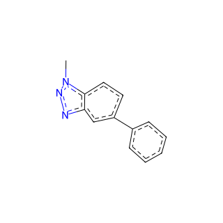 Cn1nnc2cc(-c3ccccc3)ccc21